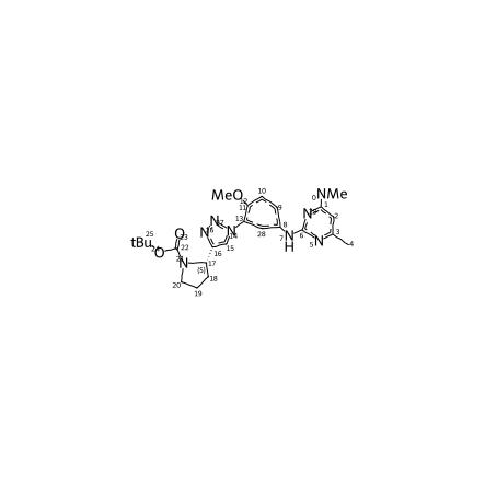 CNc1cc(C)nc(Nc2ccc(OC)c(-n3cc([C@@H]4CCCN4C(=O)OC(C)(C)C)nn3)c2)n1